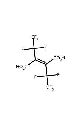 O=C(O)C(=C(C(=O)O)C(F)(F)C(F)(F)F)C(F)(F)C(F)(F)F